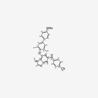 CNc1ccc(-c2cc(C)c(Oc3nc(Nc4ccc(C#N)cc4)nc4ccn(C)c34)c(C)c2)cc1